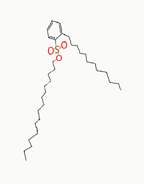 CCCCCCCCCCCCCCCCOS(=O)(=O)c1ccccc1CCCCCCCCCCCC